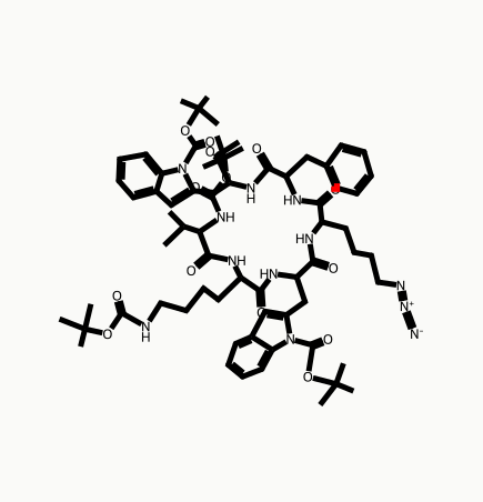 CC(=O)C(Cc1cc2ccccc2n1C(=O)OC(C)(C)C)NC(=O)C(Cc1ccccc1)NC(=O)C(CCCCN=[N+]=[N-])NC(=O)C(Cc1cc2ccccc2n1C(=O)OC(C)(C)C)NC(=O)C(CCCCNC(=O)OC(C)(C)C)NC(=O)C(NC(=O)OC(C)(C)C)C(C)C